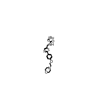 CC(C)(C)OC(=O)NCc1cnc(-c2ccc(OCCN3CCOCC3)cc2)s1